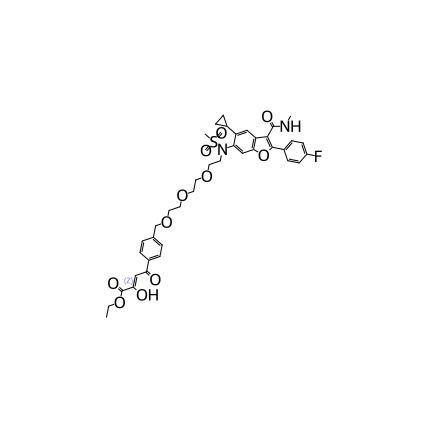 CCOC(=O)/C(O)=C/C(=O)c1ccc(COCCOCCOCCN(c2cc3oc(-c4ccc(F)cc4)c(C(=O)NC)c3cc2C2CC2)S(C)(=O)=O)cc1